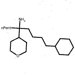 CCCCCC(N)(CCCCC1CCCCC1)C1CCOCC1